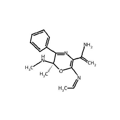 C=C(N)C1=C(/N=C\C)O[C@@](C)(NC)C(c2ccccc2)=N1